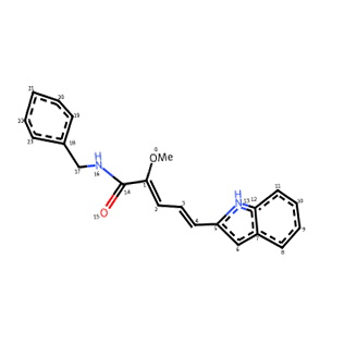 CO/C(=C\C=C\c1cc2ccccc2[nH]1)C(=O)NCc1ccccc1